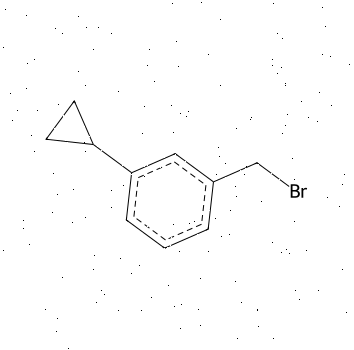 BrCc1cccc(C2CC2)c1